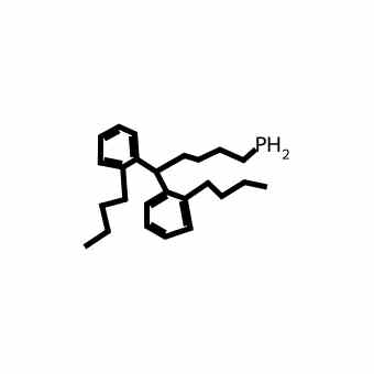 CCCCc1ccccc1C(CCCCP)c1ccccc1CCCC